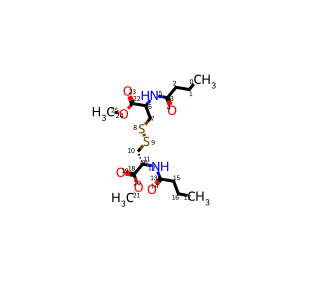 CCCC(=O)NC(CSSC[C@H](NC(=O)CCC)C(=O)OC)C(=O)OC